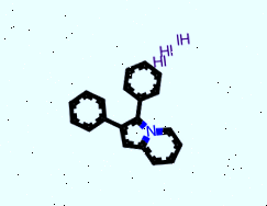 I.I.I.c1ccc(-c2cc3ccccn3c2-c2ccccc2)cc1